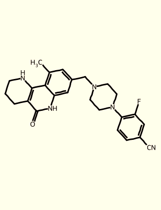 Cc1cc(CN2CCN(c3ccc(C#N)cc3F)CC2)cc2[nH]c(=O)c3c(c12)NCCC3